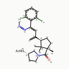 C=C(/C=C(\N=N/C)c1c(F)cccc1F)[C@H]1CC[C@](C)(C(=O)N2CC[C@H](NC(C)=O)C2)C1(C)C